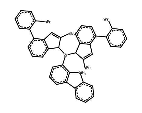 CCCCC1=Cc2c(-c3ccccc3CCC)cccc2[CH]1[Zr]([c]1cccc2c1[SiH2]c1ccccc1-2)[CH]1C(CCCC)=Cc2c(-c3ccccc3CCC)cccc21